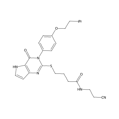 CC(C)CCOc1ccc(-n2c(SCCCC(=O)NCCC#N)nc3cc[nH]c3c2=O)cc1